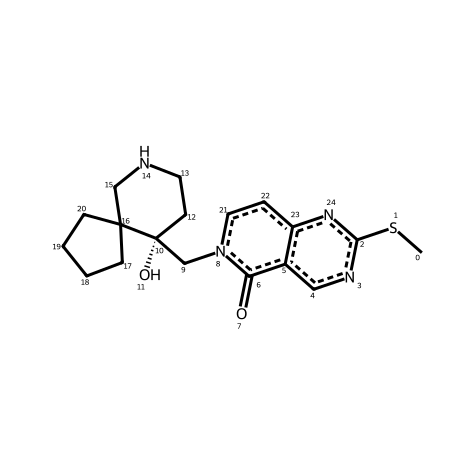 CSc1ncc2c(=O)n(C[C@]3(O)CCNCC34CCCC4)ccc2n1